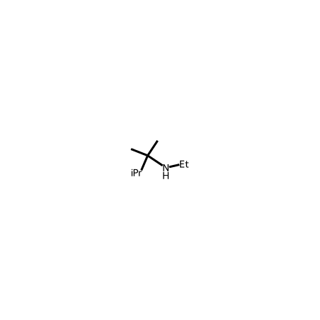 [CH2]CNC(C)(C)C(C)C